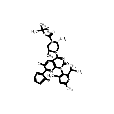 Cc1cc(C)c(-n2c(=O)nc(N3C[C@@H](C)N(C(=O)OC(C)(C)C)C[C@@H]3C)c3cc(Cl)c(-c4ccccc4F)nc32)c(C(C)C)n1